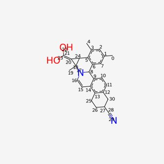 Cc1cc(C)c2c(c1)C1c3ccc4c(c3C=CN1C1(C)C(=C(O)O)C21)CCC(C#N)C4